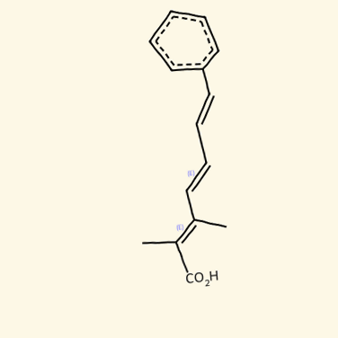 CC(/C=C/C=Cc1ccccc1)=C(/C)C(=O)O